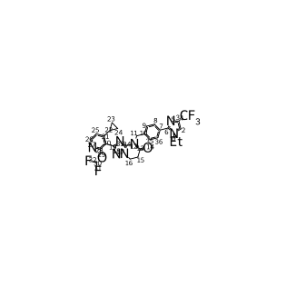 CCn1cc(C(F)(F)F)nc1-c1ccc(CN2C(=O)CCn3nc(-c4c(C5CC5)ccnc4OC(F)F)nc32)cc1